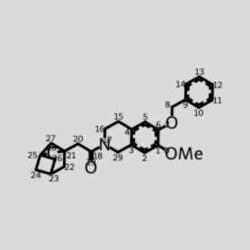 COc1cc2c(cc1OCc1ccccc1)CCN(C(=O)CC13CC4CC(C4)(C1)C3)C2